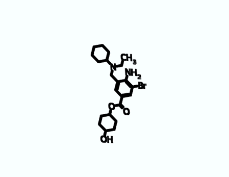 CCN(Cc1cc(C(=O)OC2CCC(O)CC2)cc(Br)c1N)C1CCCCC1